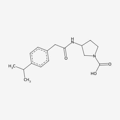 CC(C)c1ccc(CC(=O)NC2CCN(C(=O)O)C2)cc1